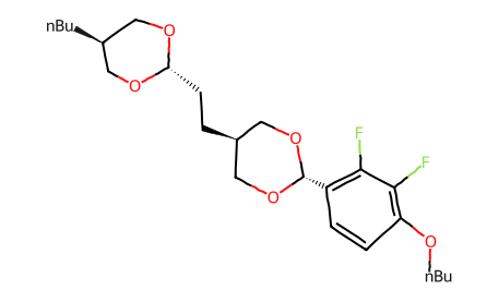 CCCCOc1ccc([C@H]2OC[C@H](CC[C@H]3OC[C@H](CCCC)CO3)CO2)c(F)c1F